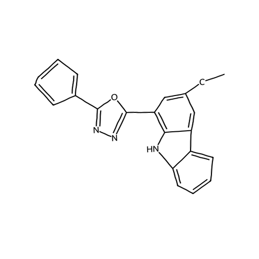 CCc1cc(-c2nnc(-c3ccccc3)o2)c2[nH]c3ccccc3c2c1